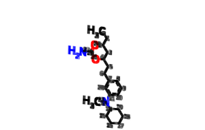 CCCCC(CCc1cccc(N(C)C2CCCCC2)c1)OC(N)=O